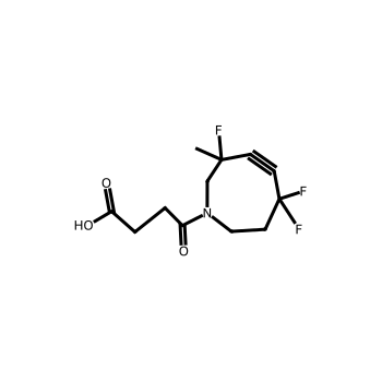 CC1(F)C#CC(F)(F)CCN(C(=O)CCC(=O)O)C1